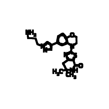 CC1(C)Cc2nc(N3CCOc4ccc(-c5cnn(CCCN)c5)cc43)sc2C(=O)N1